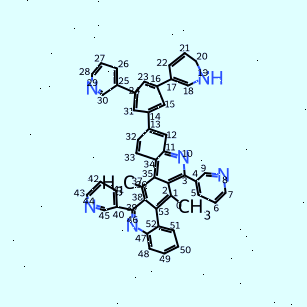 Cc1c2c(-c3cccnc3)nc3cc(-c4cc(C5=CNCC=C5)cc(-c5cccnc5)c4)ccc3c2c(C)c2c(-c3cccnc3)nc3ccccc3c12